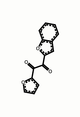 O=C(C(=O)c1cc2ccccc2o1)c1ccco1